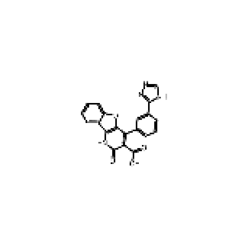 O=C(O)c1c(-c2cccc(-c3nnc[nH]3)c2)c2oc3ccccc3c2[nH]c1=O